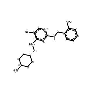 CSc1ccccc1CNc1ncc(C#N)c(NC[C@H]2CC[C@H](N)CC2)n1